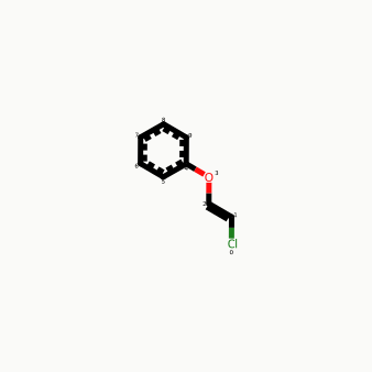 ClC=COc1ccccc1